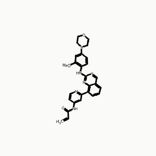 C=CC(=O)Nc1ccnc(-c2cccc3cnc(Nc4ccc(N5CCOCC5)cc4OC)nc23)c1